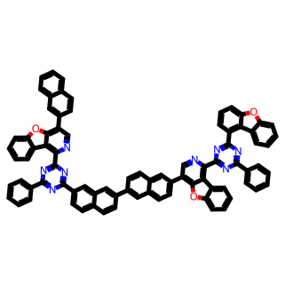 c1ccc(-c2nc(-c3ccc4ccc(-c5ccc6cc(-c7cnc(-c8nc(-c9ccccc9)nc(-c9cccc%10oc%11ccccc%11c9%10)n8)c8c7oc7ccccc78)ccc6c5)cc4c3)nc(-c3ncc(-c4ccc5ccccc5c4)c4oc5ccccc5c34)n2)cc1